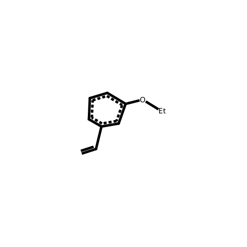 C=Cc1cccc(OCC)c1